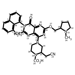 Cc1cccc2cccc(-n3c(C)nc4c(N5CCN(C(=O)O)C(CC#N)C5)nc(OCC5CCCN5C)nc4c3=O)c12